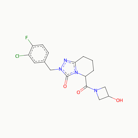 O=C(C1CCCc2nn(Cc3ccc(F)c(Cl)c3)c(=O)n21)N1CC(O)C1